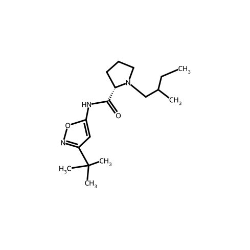 CCC(C)CN1CCC[C@H]1C(=O)Nc1cc(C(C)(C)C)no1